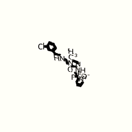 Cc1cnc(NCC(F)(F)c2cccc[n+]2[O-])c(=O)n1CCNCCc1cccc(Cl)c1